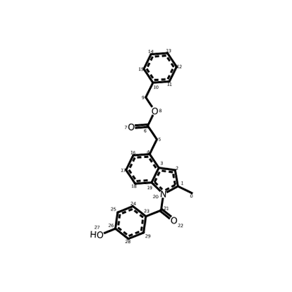 Cc1cc2c(CC(=O)OCc3ccccc3)cccc2n1C(=O)c1ccc(O)cc1